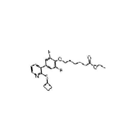 CCOC(=O)CCCCCOc1c(F)cc(-c2cccnc2SC2CCC2)cc1F